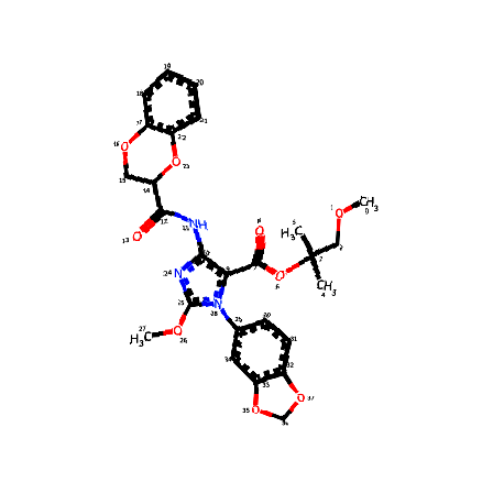 COCC(C)(C)OC(=O)c1c(NC(=O)C2COc3ccccc3O2)nc(OC)n1-c1ccc2c(c1)OCO2